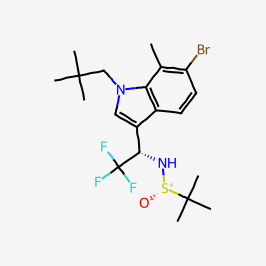 Cc1c(Br)ccc2c([C@H](N[S@@+]([O-])C(C)(C)C)C(F)(F)F)cn(CC(C)(C)C)c12